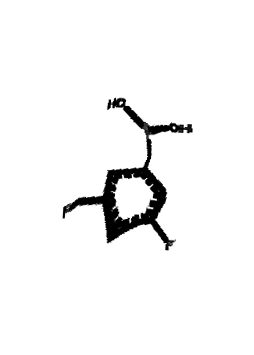 OP(O)c1cc(F)cc(F)c1